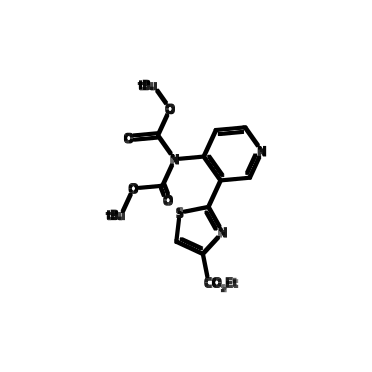 CCOC(=O)c1csc(-c2cnccc2N(C(=O)OC(C)(C)C)C(=O)OC(C)(C)C)n1